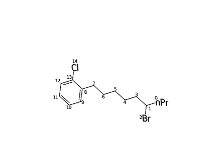 CCCC(Br)CCCCCc1ccccc1Cl